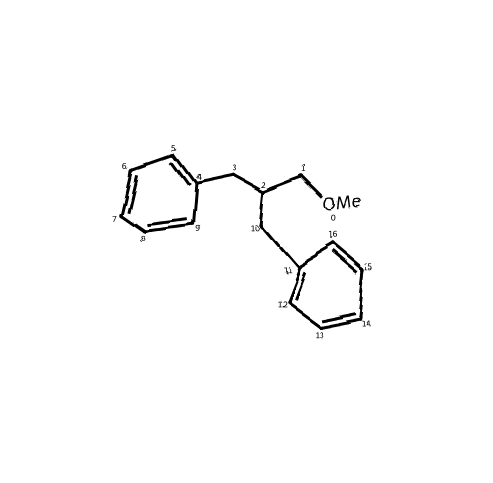 COCC(Cc1ccccc1)Cc1ccccc1